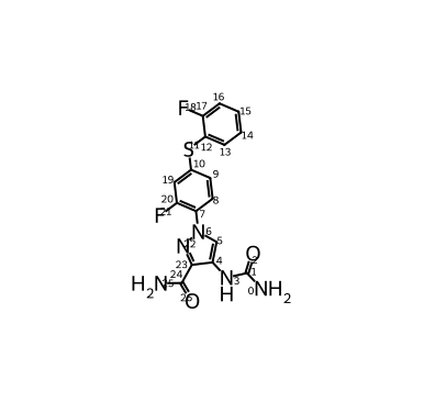 NC(=O)Nc1cn(-c2ccc(Sc3ccccc3F)cc2F)nc1C(N)=O